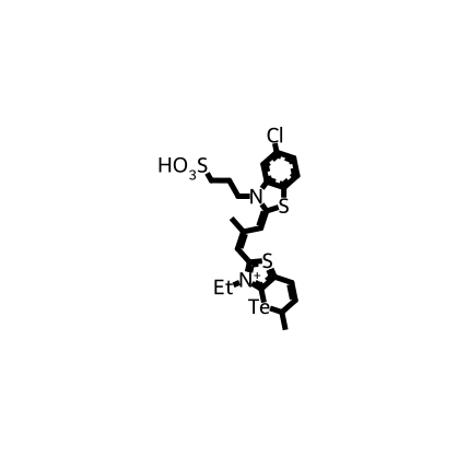 CC[n+]1c(C=C(C)C=C2Sc3ccc(Cl)cc3N2CCCS(=O)(=O)O)sc2c1[Te]C(C)C=C2